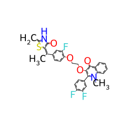 C=c1[nH]c(=O)/c(=C(/C)c2ccc(OCCOc3c(-c4ccc(F)c(F)c4)n(C)c4ccccc4c3=O)c(F)c2)s1